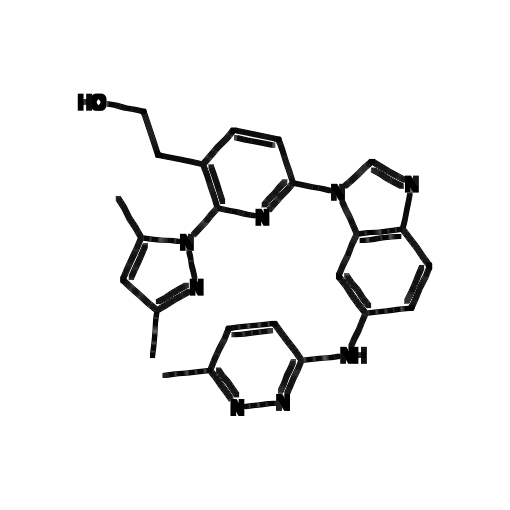 Cc1ccc(Nc2ccc3ncn(-c4ccc(CCO)c(-n5nc(C)cc5C)n4)c3c2)nn1